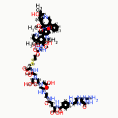 CC[C@]1(O)C[C@H]2CN(CCc3c([nH]c4ccccc34)[C@@](C(=O)OC)(c3cc4c(cc3OC)N(C)[C@H]3[C@@](O)(C(=O)NNC(=O)OCCSSC[C@H](NC(=O)CN(CCN(CC(=O)O)CC(=O)NCCNC(=O)CC[C@@H](NC(=O)c5ccc(NCc6cnc7nc(N)[nH]c(=O)c7n6)cc5)C(=O)O)CC(=O)O)C(=O)O)[C@H](O)[C@]5(CC)C=CCN6CC[C@]43C65)C2)C1